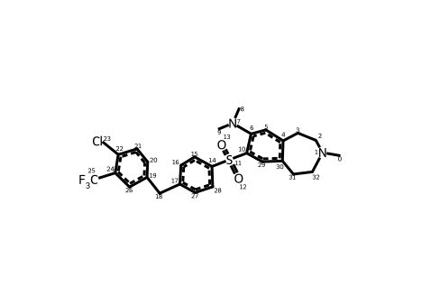 CN1CCc2cc(N(C)C)c(S(=O)(=O)c3ccc(Cc4ccc(Cl)c(C(F)(F)F)c4)cc3)cc2CC1